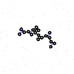 c1ccc(-n2c3ccccc3c3cc(-c4ccc5c(c4)c4ccccc4n5-c4ccc5c(c4)C4(c6ccccc6-5)c5ccccc5-c5c(-c6ccc7c8cc(-c9ccc%10c(c9)c9cc(-c%11ccc%12c(c%11)c%11ccccc%11n%12-c%11ccccc%11)ccc9n%10-c9ccccc9)ccc8c8ccccc8c7c6)cccc54)ccc32)cc1